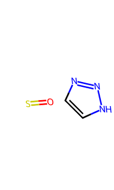 O=S.c1c[nH]nn1